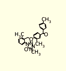 Cc1ccc(C(=O)c2ccc(OCc3c(C)cccc3-n3nnn(C)c3=O)c(C)c2)cc1